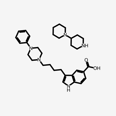 C1CCN(C2CCNCC2)CC1.O=C(O)c1ccc2[nH]cc(CCCCN3CCN(c4ccccc4)CC3)c2c1